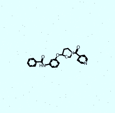 O=C(Nc1cccc(OC2CCN(C(=O)c3ccncc3)CC2)c1)c1ccccc1